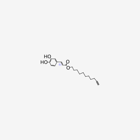 C#CCCCCCCCCCOC(=O)/C=C/c1ccc(O)c(O)c1